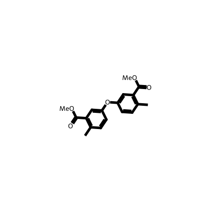 COC(=O)c1cc(Oc2ccc(C)c(C(=O)OC)c2)ccc1C